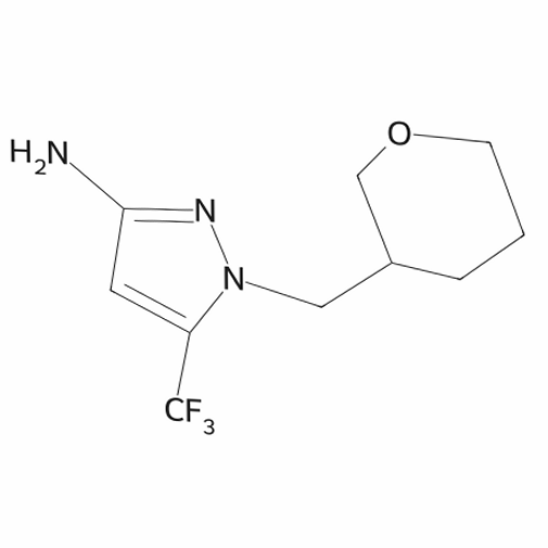 Nc1cc(C(F)(F)F)n(CC2CCCOC2)n1